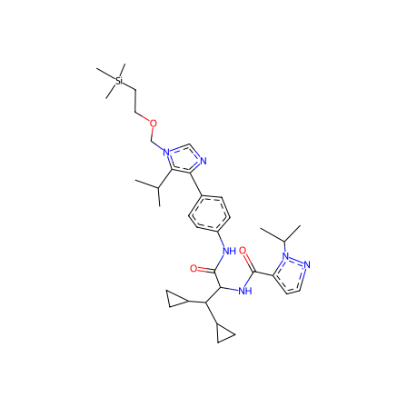 CC(C)c1c(-c2ccc(NC(=O)C(NC(=O)c3ccnn3C(C)C)C(C3CC3)C3CC3)cc2)ncn1COCC[Si](C)(C)C